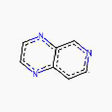 [c]1cc2nccnc2cn1